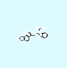 CCCC(=O)n1c(NCc2c[nH]c3c4c(ccc23)CCC4)nc2ccccc21